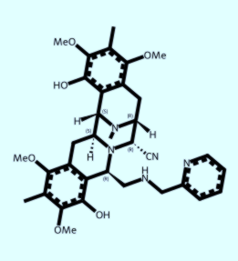 COc1c(C)c(OC)c2c(c1O)[C@H]1[C@@H]3Cc4c(OC)c(C)c(OC)c(O)c4[C@H](CNCc4ccccn4)N3[C@@H](C#N)[C@@H](C2)N1C